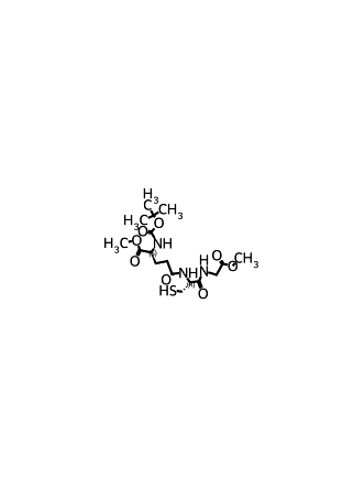 COC(=O)CNC(=O)[C@H](CS)NC(=O)CC[C@H](NC(=O)OC(C)(C)C)C(=O)OC